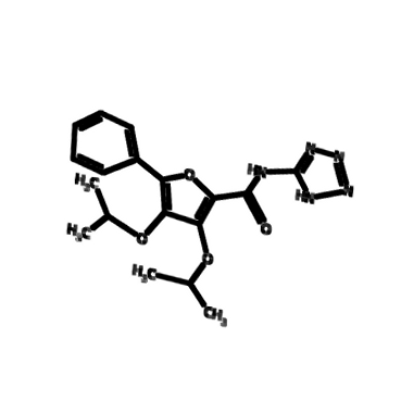 CC(C)Oc1c(C(=O)Nc2nnn[nH]2)oc(-c2ccccc2)c1OC(C)C